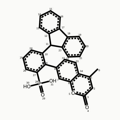 Cc1cc(=O)oc2cc(-c3c(C4c5ccccc5-c5ccccc54)cccc3P(=O)(O)O)ccc12